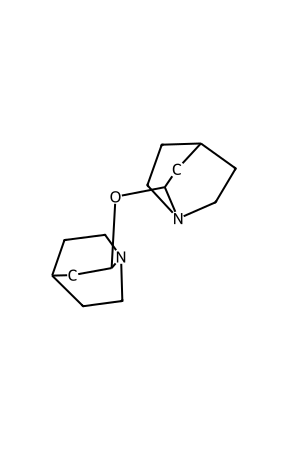 C1CN2CCC1CC2OC1CC2CCN1CC2